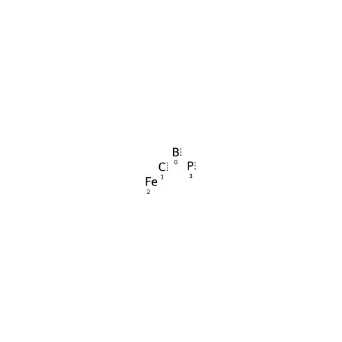 [B].[C].[Fe].[P]